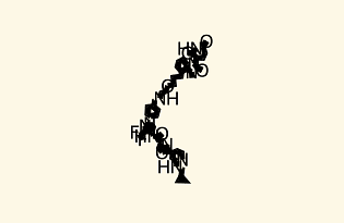 Cn1c(=O)n(C2CCC(=O)NC2=O)c2cccc(CCCOCCNCc3ccc(-n4cc(NC(=O)c5coc(-c6ccnc(NCC7CC7)c6)n5)c(C(F)F)n4)cc3)c21